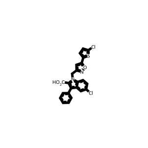 O=C(O)c1c(-c2ccccc2)c2cc(Cl)ccc2n1Cc1cc(-c2ccc(Cl)s2)on1